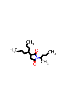 CCCCC(CCC)C1CC(=O)N(C(C)CCC)C1=O